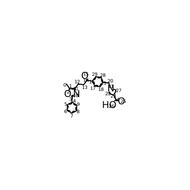 Cc1oc(-c2ccccc2)nc1CCC(=O)c1ccc(CN2CC(C(=O)O)C2)cc1